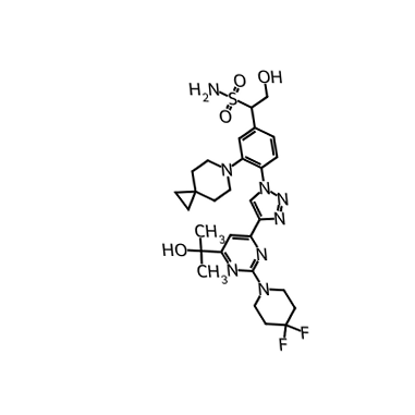 CC(C)(O)c1cc(-c2cn(-c3ccc(C(CO)S(N)(=O)=O)cc3N3CCC4(CC3)CC4)nn2)nc(N2CCC(F)(F)CC2)n1